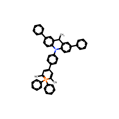 CC1c2cc(-c3ccccc3)ccc2N(c2ccc(C3=CC(C#N)=P(c4ccccc4)(c4ccccc4)C(C#N)=C3)cc2)c2ccc(-c3ccccc3)cc21